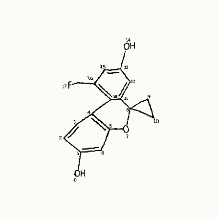 Oc1ccc2c(c1)OC1(CC1)c1cc(O)cc(F)c1-2